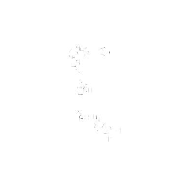 O=C(NS(=O)(=O)N1CCN(C(=O)Nc2nccnc2C(=O)NC2Cc3ccccc3C2)CC1)O[C@@H]1CCCN(C(=O)O)[C@H]1CC(O)Cn1cnc2cc(Br)c(Cl)cc2c1=O